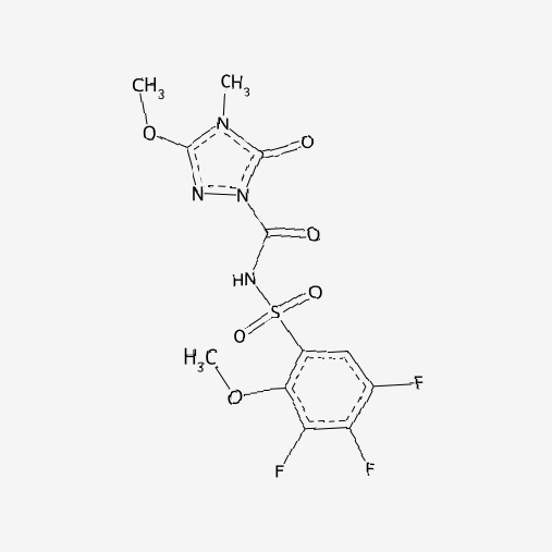 COc1c(S(=O)(=O)NC(=O)n2nc(OC)n(C)c2=O)cc(F)c(F)c1F